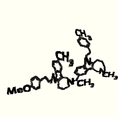 COc1ccc(CCn2c3c(c4cc(C)ccc42)CN(C(C)c2ccc4c(c2)c2c(n4CCc4ccc(C)cc4)CCCN(C)C2)CCC3)cc1